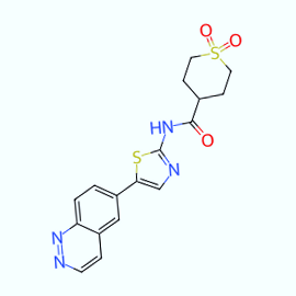 O=C(Nc1ncc(-c2ccc3nnccc3c2)s1)C1CCS(=O)(=O)CC1